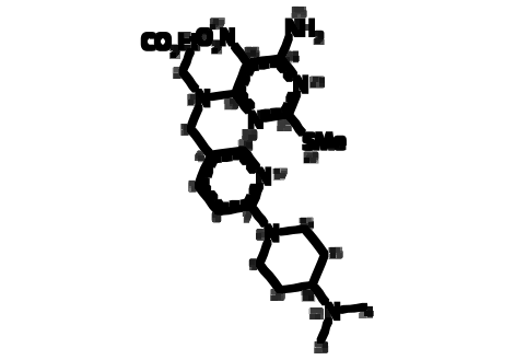 CCOC(=O)CN(Cc1ccc(N2CCC(N(C)C)CC2)nc1)c1nc(SC)nc(N)c1[N+](=O)[O-]